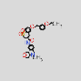 CCCOc1cccc(CCOc2ccc3c(c2)C=C(C(=O)Nc2ccc(CN(C)C4CCOCC4)cc2)CCS3(=O)=O)c1